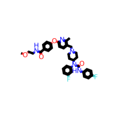 COCCNC(=O)c1ccc(Oc2ccc(CN3CCC(N(C(=O)Nc4ccc(F)cc4)c4cccc(F)c4)CC3)c(C)n2)cc1